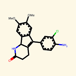 COc1cc2c(cc1OC)C1NC(=O)CCC1=C2c1ccc(N)c(Cl)c1